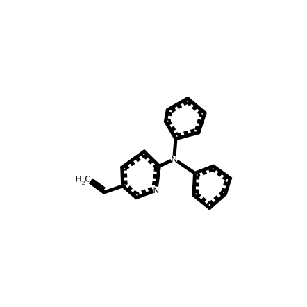 C=Cc1ccc(N(c2ccccc2)c2ccccc2)nc1